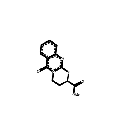 COC(=O)C1CCn2c(nc3ccccc3c2=O)S1